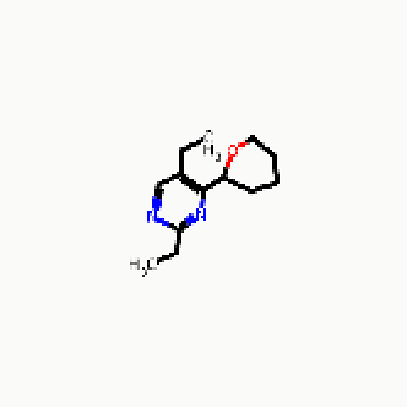 CCc1ncc(CC)c(C2CCCCO2)n1